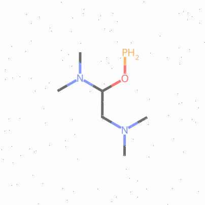 CN(C)CC(OP)N(C)C